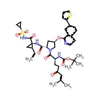 C=CC1C[C@]1(NC(=O)[C@@H]1C[C@@H](Oc2nccc3ccc(-c4cccs4)cc23)CN1C(=O)[C@H](CCC(=O)C=C(C)C)NC(=O)OC(C)(C)C)C(=O)NS(=O)(=O)C1CC1